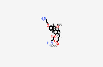 CCCCCCCCCCOC(=O)CC[C@@H](C)[C@H]1CC[C@H]2[C@@H]3[C@H](OCCCC)C[C@@H]4C[C@H](OCCCN)CC[C@]4(C)[C@H]3C[C@H](OC(=O)CCN)[C@]12C